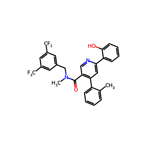 Cc1ccccc1-c1cc(-c2ccccc2O)ncc1C(=O)N(C)Cc1cc(C(F)(F)F)cc(C(F)(F)F)c1